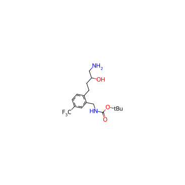 CC(C)(C)OC(=O)NCc1cc(C(F)(F)F)ccc1CCC(O)CN